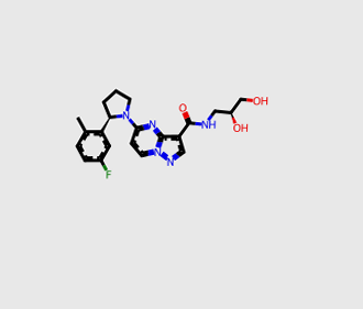 Cc1ccc(F)cc1[C@H]1CCCN1c1ccn2ncc(C(=O)NC[C@H](O)CO)c2n1